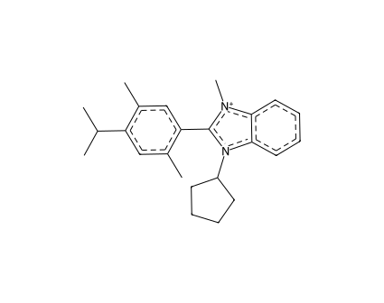 Cc1cc(C(C)C)c(C)cc1-c1n(C2CCCC2)c2ccccc2[n+]1C